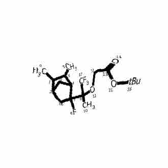 CC1C2CC(C1C)C(F)(C(C)(OCC(=O)OC(C)(C)C)C(F)(F)F)C2